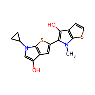 Cn1c(-c2cc3c(O)cn(C4CC4)c3s2)c(O)c2ccsc21